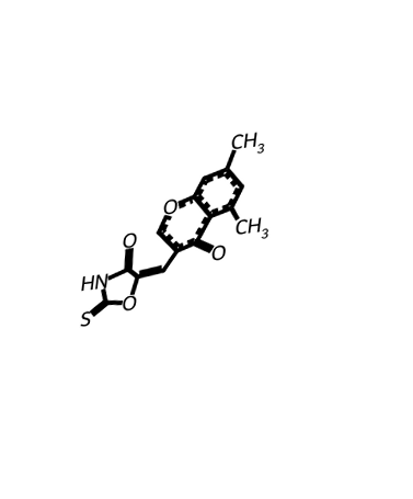 Cc1cc(C)c2c(=O)c(C=C3OC(=S)NC3=O)coc2c1